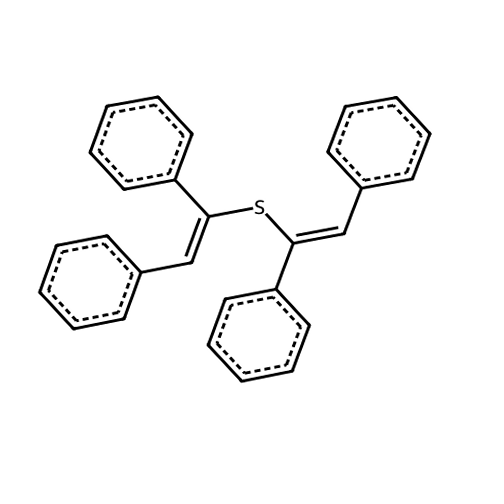 C(=C(SC(=Cc1ccccc1)c1ccccc1)c1ccccc1)c1ccccc1